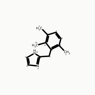 Cc1ccc(C)c(Cc2ncc[nH]2)c1C